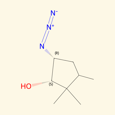 CC1C[C@@H](N=[N+]=[N-])[C@@H](O)C1(C)C